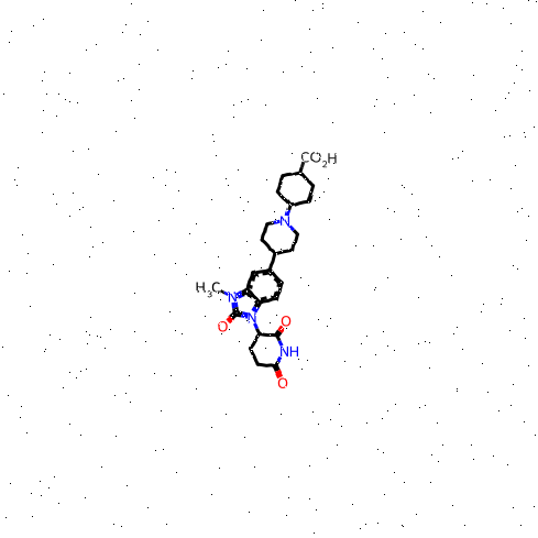 Cn1c(=O)n(C2CCC(=O)NC2=O)c2ccc(C3CCN(C4CCC(C(=O)O)CC4)CC3)cc21